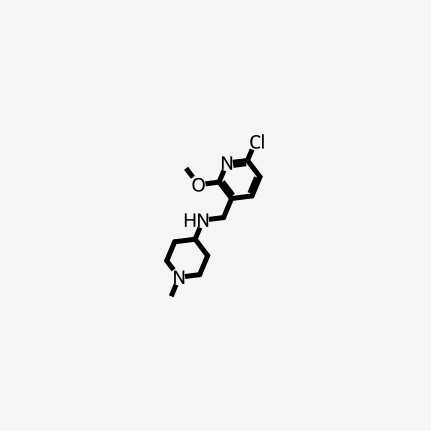 COc1nc(Cl)ccc1CNC1CCN(C)CC1